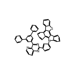 c1ccc(-c2cc(-c3ccccc3)cc(-c3nc(-c4cccc(-n5c6ccccc6c6c7sc8ccccc8c7c7ccccc7c65)c4)nc4cccnc34)c2)cc1